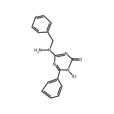 CCn1c(-c2ccccc2)nc(N(N)Cc2ccccc2)nc1=O